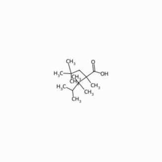 CC(C)C(C)(C)C(C)(CC(C)(C)C)C(=O)O